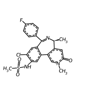 C[C@@H]1N=C(c2ccc(F)cc2)c2cc(Cl)c(NS(C)(=O)=O)cc2-c2cn(C)c(=O)cc21